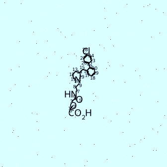 O=C(O)COCC(=O)NCCCN1CCCC(Cc2ccccc2-c2ccc(Cl)cc2)C1